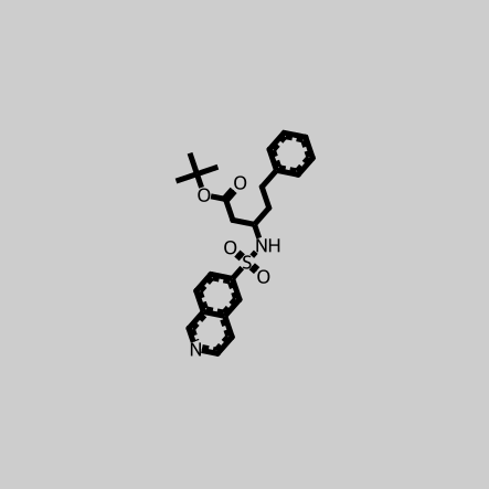 CC(C)(C)OC(=O)CC(CCc1ccccc1)NS(=O)(=O)c1ccc2cnccc2c1